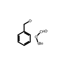 CC(C)(C)O[C]=O.[O]Cc1ccccc1